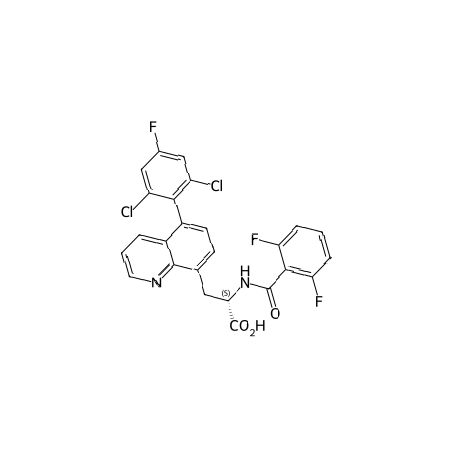 O=C(N[C@@H](Cc1ccc(-c2c(Cl)cc(F)cc2Cl)c2cccnc12)C(=O)O)c1c(F)cccc1F